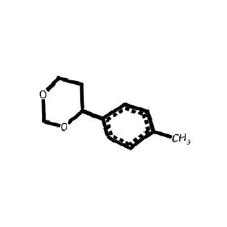 Cc1ccc(C2CCOCO2)cc1